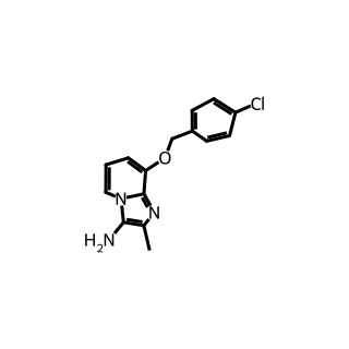 Cc1nc2c(OCc3ccc(Cl)cc3)cccn2c1N